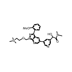 COc1ccccc1-c1nn(COCC[Si](C)(C)C)c2ncc(-c3cncc(C(O)C(=O)N(C)C)c3)cc12